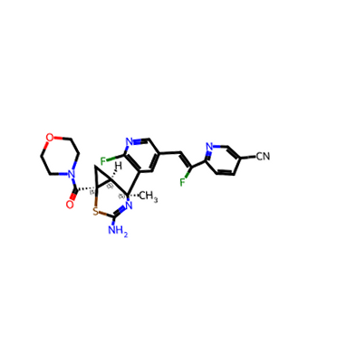 C[C@]1(c2cc(C=C(F)c3ccc(C#N)cn3)cnc2F)N=C(N)S[C@@]2(C(=O)N3CCOCC3)C[C@H]21